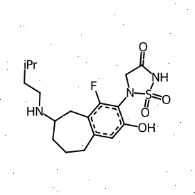 CC(C)CCNC1CCCc2cc(O)c(N3CC(=O)NS3(=O)=O)c(F)c2C1